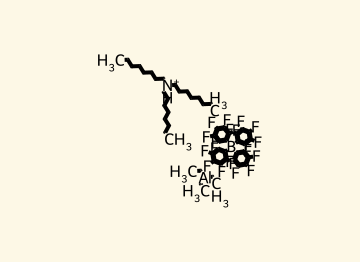 CCCCCCCC[NH+](CCCCCCCC)CCCCCCCC.C[CH2][Al]([CH2]C)[CH2]C.Fc1c(F)c(F)c([B-](c2c(F)c(F)c(F)c(F)c2F)(c2c(F)c(F)c(F)c(F)c2F)c2c(F)c(F)c(F)c(F)c2F)c(F)c1F